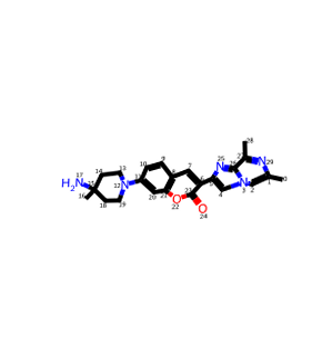 Cc1cn2cc(-c3cc4ccc(N5CCC(C)(N)CC5)cc4oc3=O)nc2c(C)n1